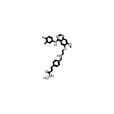 COc1cc2ncnc(Nc3ccc(F)c(C)c3)c2cc1OCCNCc1ccc(/C=C/C(=O)NO)cc1